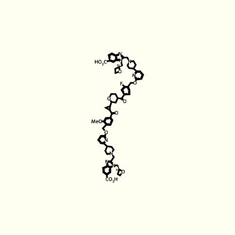 COc1cc(C(=O)C2CC2C2CC(C(=O)c3ccc(COc4cccc(C5CCN(Cc6nc7ccc(C(=O)O)cc7n6C[C@@H]6CCO6)CC5)n4)c(F)c3)CCO2)ccc1COc1cccc(C2CCN(Cc3nc4ccc(C(=O)O)cc4n3C[C@@H]3CCO3)CC2)n1